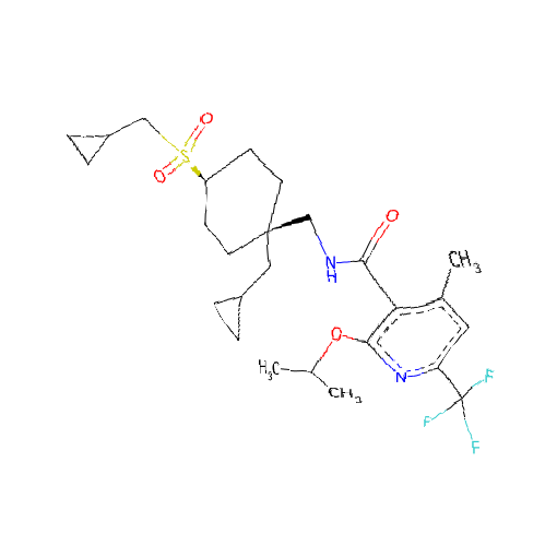 Cc1cc(C(F)(F)F)nc(OC(C)C)c1C(=O)NC[C@]1(CC2CC2)CC[C@H](S(=O)(=O)CC2CC2)CC1